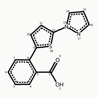 O=C(O)c1ccccc1-c1ccc(-n2cccn2)s1